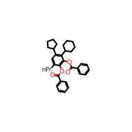 CCCc1cc(C2CCCC2)c(C2CCCCC2)c(OC(=O)c2ccccc2)c1OC(=O)c1ccccc1